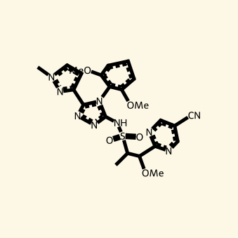 COc1cccc(OC)c1-n1c(NS(=O)(=O)C(C)C(OC)c2ncc(C#N)cn2)nnc1-c1ccn(C)n1